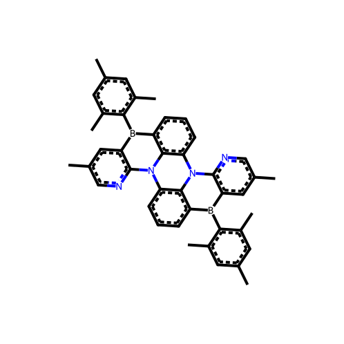 Cc1cc(C)c(B2c3cc(C)cnc3N3c4cccc5c4N(c4cccc2c43)c2ncc(C)cc2B5c2c(C)cc(C)cc2C)c(C)c1